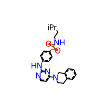 CC(C)CCNS(=O)(=O)c1ccc(Nc2nccc(N3CCc4ccccc4C3)n2)cc1